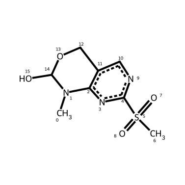 CN1c2nc(S(C)(=O)=O)ncc2COC1O